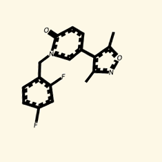 Cc1noc(C)c1-c1ccc(=O)n(Cc2ccc(F)cc2F)c1